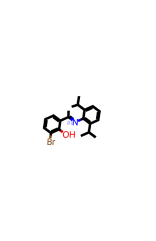 C/C(=N\c1c(C(C)C)cccc1C(C)C)c1cccc(Br)c1O